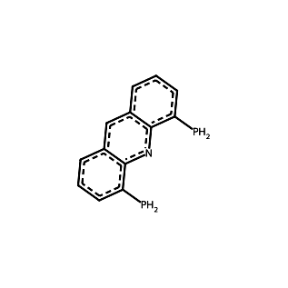 Pc1cccc2cc3cccc(P)c3nc12